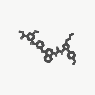 CCCCc1cc(NC(=O)Nc2ccc(Oc3ccnc(Nc4cc(OC)cc(C(=O)OC)c4)n3)c3ccccc23)n(-c2ccc(OC)cc2)n1